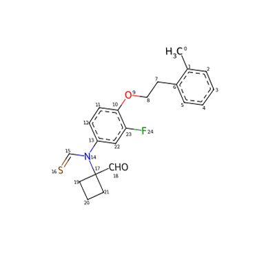 Cc1ccccc1CCOc1ccc(N(C=S)C2(C=O)CCC2)cc1F